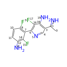 CC(=N)c1cnc(-c2c(F)ccc(N)c2F)c(F)c1N